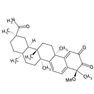 CO[C@]1(C)C(=O)C(=O)C=C2C1=CC=C1[C@@]2(C)CC[C@@]2(C)[C@@H]3C[C@](C)(C(N)=O)CC[C@]3(C)CC[C@]12C